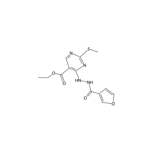 CCOC(=O)c1cnc(SC)nc1NNC(=O)c1ccoc1